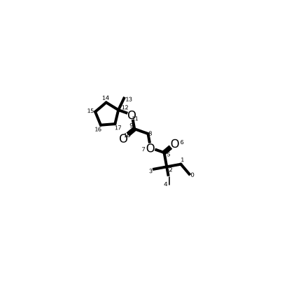 CCC(C)(I)C(=O)OCC(=O)OC1(C)CCCC1